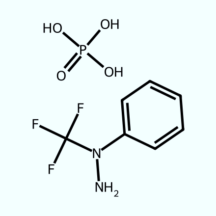 NN(c1ccccc1)C(F)(F)F.O=P(O)(O)O